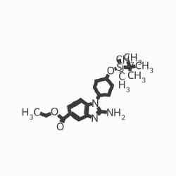 CCOC(=O)c1ccc2c(c1)nc(N)n2C1CCC(O[Si](C)(C)C(C)(C)C)CC1